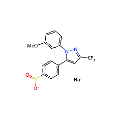 COc1cccc(-n2nc(C(F)(F)F)cc2-c2ccc(S(=O)[O-])cc2)c1.[Na+]